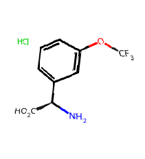 Cl.N[C@@H](C(=O)O)c1cccc(OC(F)(F)F)c1